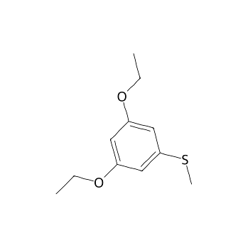 CCOc1cc(OCC)cc(SC)c1